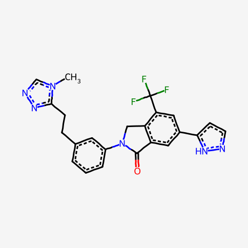 Cn1cnnc1CCc1cccc(N2Cc3c(cc(-c4ccn[nH]4)cc3C(F)(F)F)C2=O)c1